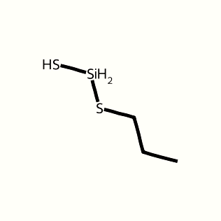 CCCS[SiH2]S